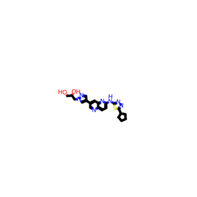 OCC(O)Cn1cc(-c2cnc3ccc(Nc4nnc(C5CCCC5)s4)nc3c2)cn1